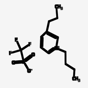 CCCC[n+]1cccc(CCC)c1.O=S(=O)([O-])C(F)(F)F